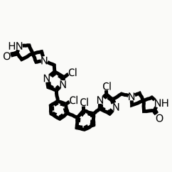 O=C1CC2(CN1)CN(Cc1ncc(-c3cccc(-c4cccc(-c5cnc(CN6CC7(CNC(=O)C7)C6)c(Cl)n5)c4Cl)c3Cl)nc1Cl)C2